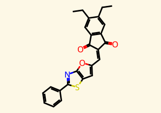 CCc1cc2c(cc1CC)C(=O)C(=Cc1cc3sc(-c4ccccc4)nc3o1)C2=O